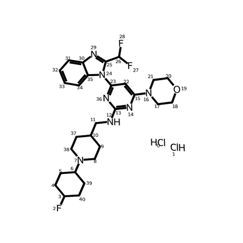 Cl.Cl.FC1CCC(N2CCC(CNc3nc(N4CCOCC4)cc(-n4c(C(F)F)nc5ccccc54)n3)CC2)CC1